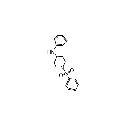 O=S(=O)(c1ccccc1)N1CCC(Nc2ccccc2)CC1